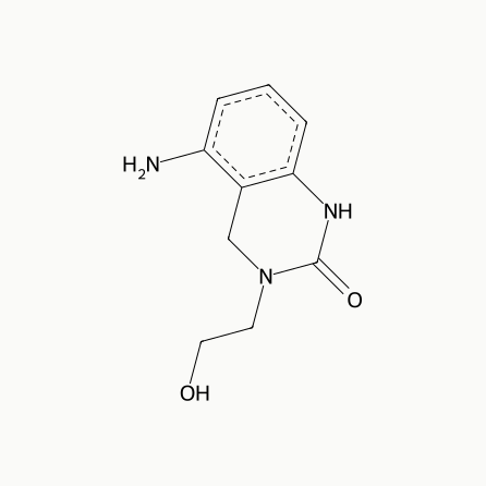 Nc1cccc2c1CN(CCO)C(=O)N2